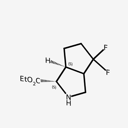 CCOC(=O)[C@H]1NCC2[C@@H]1CCC2(F)F